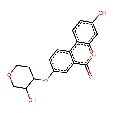 O=c1oc2cc(O)ccc2c2ccc(OC3CCOCC3O)cc12